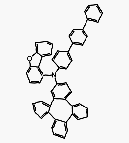 c1ccc(-c2ccc(-c3ccc(N(c4ccc5c(c4)-c4ccccc4-c4ccccc4-c4ccccc4-5)c4cccc5oc6ccccc6c45)cc3)cc2)cc1